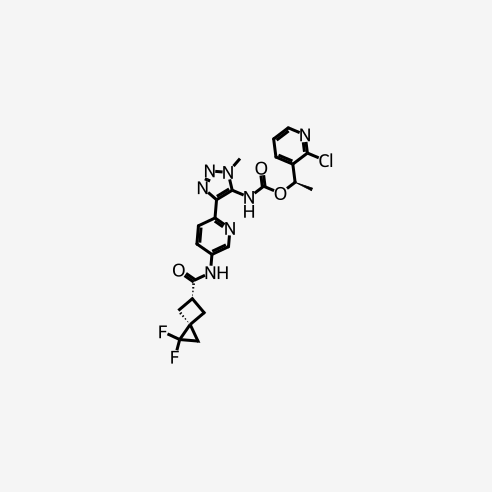 C[C@@H](OC(=O)Nc1c(-c2ccc(NC(=O)[C@H]3C[C@@]4(CC4(F)F)C3)cn2)nnn1C)c1cccnc1Cl